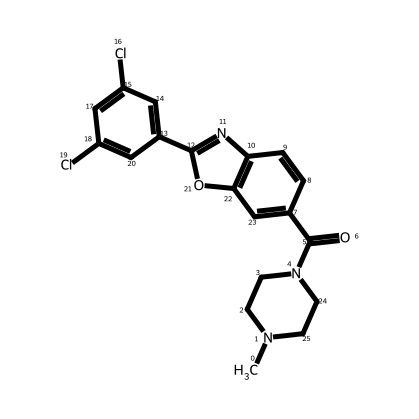 CN1CCN(C(=O)c2ccc3nc(-c4cc(Cl)cc(Cl)c4)oc3c2)CC1